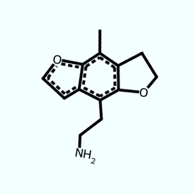 Cc1c2c(c(CCN)c3ccoc13)OCC2